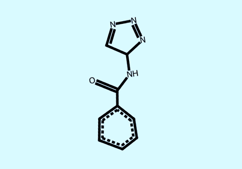 O=C(NC1C=NN=N1)c1ccccc1